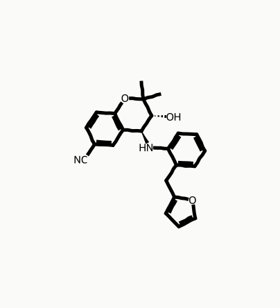 CC1(C)Oc2ccc(C#N)cc2[C@H](Nc2ccccc2Cc2ccco2)[C@H]1O